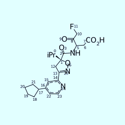 CC(C)[C@]1(C(=O)NC(CC(=O)O)C(=O)CF)CC(c2cc(C3CCCC3)ccn2)=NO1